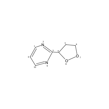 c1cnc(C2CCOO2)nc1